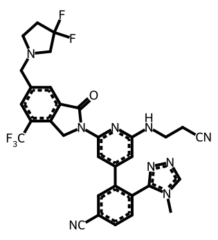 Cn1cnnc1-c1ccc(C#N)cc1-c1cc(NCCC#N)nc(N2Cc3c(cc(CN4CCC(F)(F)C4)cc3C(F)(F)F)C2=O)c1